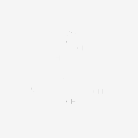 CC1=CCC(C)=C1.CC1=CCC(C)=C1.[Cl-].[Cl-].[Zr+2]